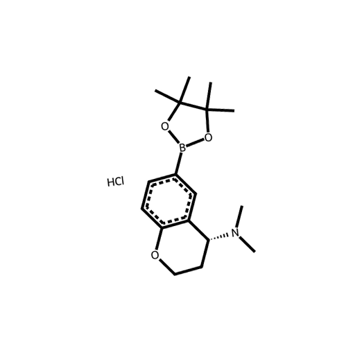 CN(C)[C@@H]1CCOc2ccc(B3OC(C)(C)C(C)(C)O3)cc21.Cl